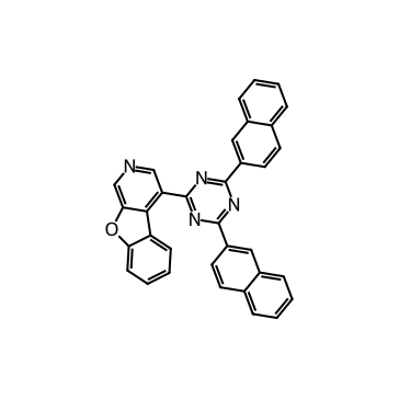 c1ccc2cc(-c3nc(-c4ccc5ccccc5c4)nc(-c4cncc5oc6ccccc6c45)n3)ccc2c1